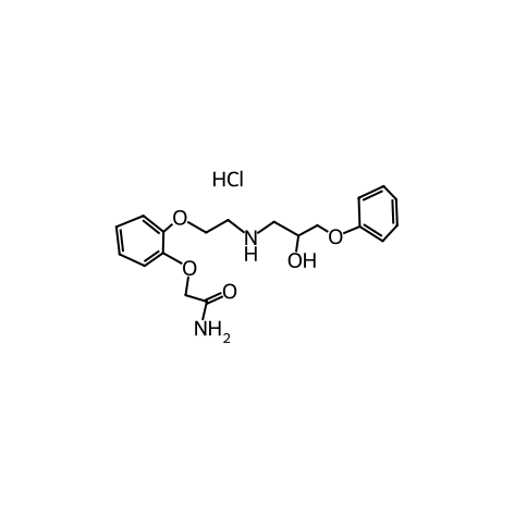 Cl.NC(=O)COc1ccccc1OCCNCC(O)COc1ccccc1